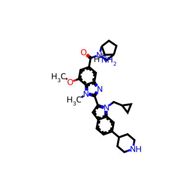 COc1cc(C(=O)N2CC3CCC2[C@@H]3N)cc2nc(-c3cc4ccc(C5CCNCC5)cc4n3CC3CC3)n(C)c12